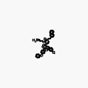 NCCCC[C@H]1C(=O)N(CCc2ccc3ccccc3c2)CCN1C(=O)[C@@H](Cc1ccc(Cl)cc1Cl)NC(=O)c1ccc(Oc2ccccc2)cc1